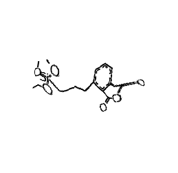 CO[Si](CCCc1cccc2c1C(=O)OC2=O)(OC)OC